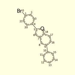 Brc1ccc(-c2cc3cc(-c4ccccc4)ccc3o2)cc1